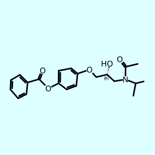 CC(=O)N(C[C@@H](O)COc1ccc(OC(=O)c2ccccc2)cc1)C(C)C